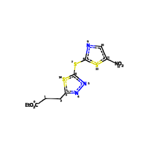 CCOC(=O)CCc1nnc(Sc2ncc([N+](=O)[O-])s2)s1